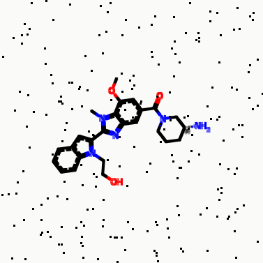 COc1cc(C(=O)N2CCC[C@@H](N)C2)cc2nc(-c3cc4ccccc4n3CCO)n(C)c12